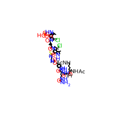 CC(=O)NCCCC[C@H](NC(C)=O)C(=O)N[C@H](C(=O)N[C@@H](CCCNC(N)=O)C(=O)Nc1ccc(COC(=O)N(C)CCN(C)C(=S)Oc2cc3c(c4c(C)c[nH]c24)[C@H](CCl)CN3C(=O)C23CC(C(=O)N4C[C@@H](CCl)c5c4cc(OP(=O)(O)O)c4[nH]cc(C)c54)(C2)C3)cc1)C(C)C